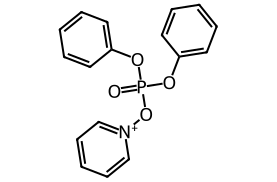 O=P(Oc1ccccc1)(Oc1ccccc1)O[n+]1ccccc1